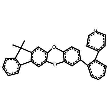 CC1(C)c2ccccc2-c2cc3c(cc21)Oc1ccc(-c2ccccc2-c2ccncc2)cc1O3